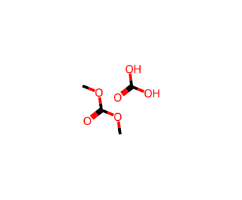 COC(=O)OC.O=C(O)O